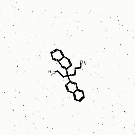 [CH2]CCCC(CCC)(c1ccc2ccccc2c1)c1ccc2ccccc2c1